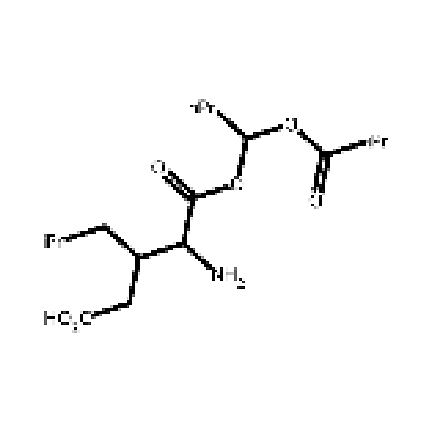 CCCC(OC(=O)C(C)C)OC(=O)C(N)C(CC(=O)O)CC(C)C